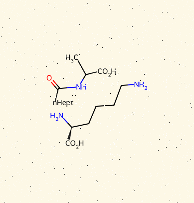 CCCCCCCC(=O)NC(C)C(=O)O.NCCCC[C@H](N)C(=O)O